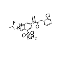 CC(F)Cn1cc2c(S(N)(=O)=O)cc(NC(=O)Cc3ccccc3Cl)cc2n1